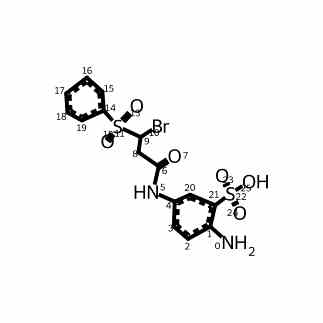 Nc1ccc(NC(=O)CC(Br)S(=O)(=O)c2ccccc2)cc1S(=O)(=O)O